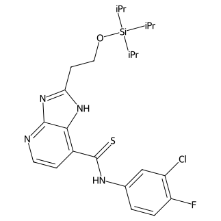 CC(C)[Si](OCCc1nc2nccc(C(=S)Nc3ccc(F)c(Cl)c3)c2[nH]1)(C(C)C)C(C)C